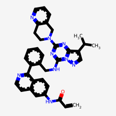 C=CC(=O)Nc1ccc2c(-c3ccccc3CNc3nc(N4CCc5ncccc5C4)nc4c(C(C)C)cnn34)nccc2c1